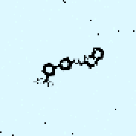 O=C(O)c1cccc(-c2ccc(OCc3ccc4ccccc4n3)cc2)c1